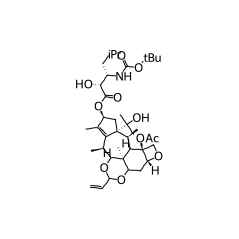 C=CC1OC2C[C@H]3OC[C@@]3(OC(C)=O)[C@H]3[C@H](C)[C@]4(C(C)(C)O)C[C@H](OC(=O)[C@H](O)[C@H](CC(C)C)NC(=O)OC(C)(C)C)C(C)=C4[C@H](C)[C@H](O1)[C@]23C